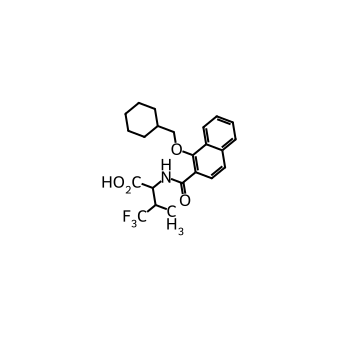 CC(C(NC(=O)c1ccc2ccccc2c1OCC1CCCCC1)C(=O)O)C(F)(F)F